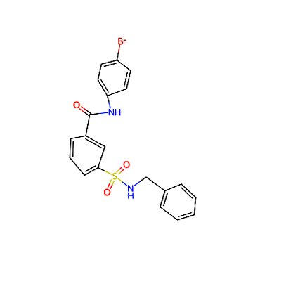 O=C(Nc1ccc(Br)cc1)c1cccc(S(=O)(=O)NCc2ccccc2)c1